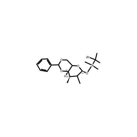 CC1[C@H](O[Si](C)(C)C(C)(C)C(C)C)OC2COC(c3ccccc3)O[C@H]2[C@@H]1C